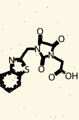 O=C(O)CN1C(=O)C(=O)N(Cc2nc3ccccc3s2)C1=O